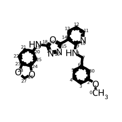 COc1cccc(CNc2ncccc2-c2nnc(Nc3ccc4c(c3)OCO4)o2)c1